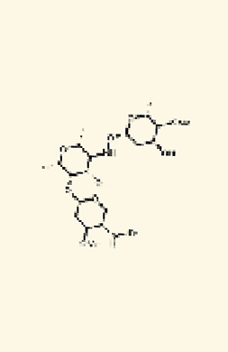 CO[C@H]1C[C@@H](O[C@H]2[C@@H](O)[C@H](NO[C@H]3C[C@H](O)[C@H](SC)[C@@H](C)O3)[C@@H](C)O[C@H]2C)OC[C@@H]1NC(C)C